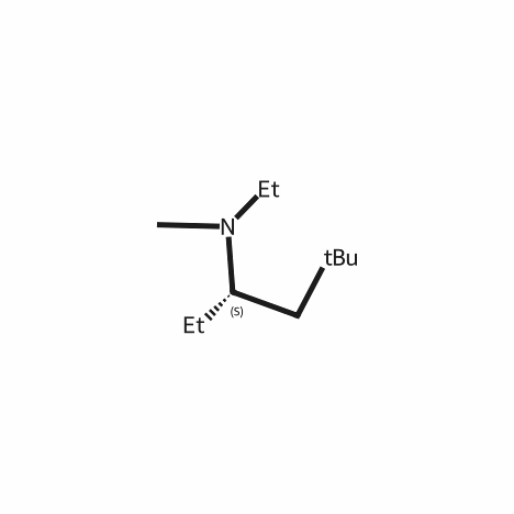 CC[C@@H](CC(C)(C)C)N(C)CC